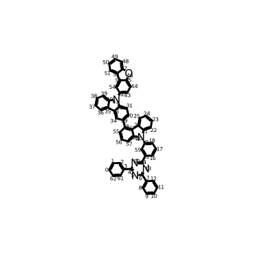 c1ccc(-c2nc(-c3ccccc3)nc(-c3cccc(-n4c5ccccc5c5c(-c6ccc7c(c6)c6ccccc6n7-c6ccc7oc8ccccc8c7c6)cccc54)c3)n2)cc1